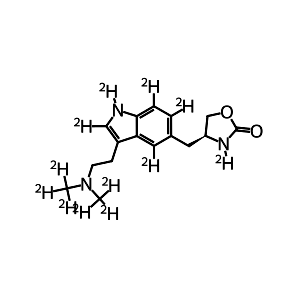 [2H]c1c(C[C@H]2COC(=O)N2[2H])c([2H])c2c(CCN(C([2H])([2H])[2H])C([2H])([2H])[2H])c([2H])n([2H])c2c1[2H]